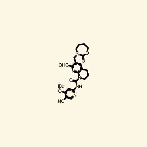 CC[C@@H](C)Oc1cc(NC(=O)N2CCCc3cc(CN4CCCCOC4=O)c(C=O)nc32)ncc1C#N